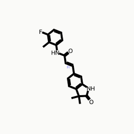 Cc1c(F)cccc1NC(=O)/C=C/c1ccc2c(c1)NC(=O)C2(C)C